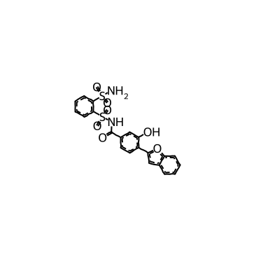 NS(=O)(=O)c1ccccc1S(=O)(=O)NC(=O)c1ccc(-c2cc3ccccc3o2)c(O)c1